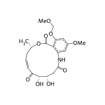 COCOc1cc(OC)cc2c1C(=O)O[C@@H](C)C/C=C\C(=O)[C@@H](O)[C@@H](O)CC(=O)N2